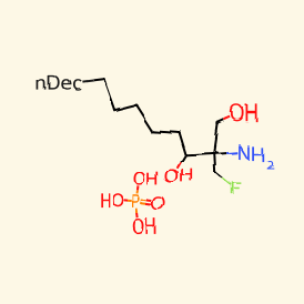 CCCCCCCCCCCCCCCC(O)C(N)(CO)CF.O=P(O)(O)O